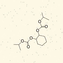 CC(C)OC(=O)OC1CCCCC1OC(=O)OC(C)C